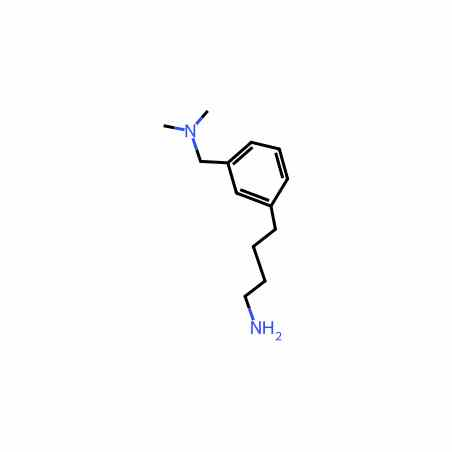 CN(C)Cc1cccc(CCCCN)c1